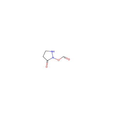 O=CON1NCCC1=O